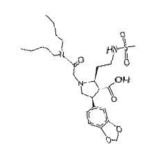 CCCCN(CCCC)C(=O)CN1C[C@H](c2ccc3c(c2)OCO3)[C@@H](C(=O)O)[C@@H]1CCNS(C)(=O)=O